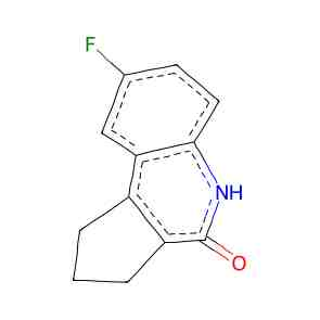 O=c1[nH]c2ccc(F)cc2c2c1CCC2